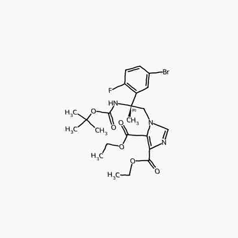 CCOC(=O)c1ncn(C[C@](C)(NC(=O)OC(C)(C)C)c2cc(Br)ccc2F)c1C(=O)OCC